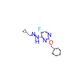 Fc1cnc(OCc2ccccc2)nc1N/N=C/C1CC1